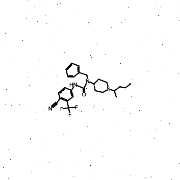 CCCC(C)N1CCC(N(Cc2ccccc2)C(=O)Nc2ccc(C#N)c(C(F)(F)F)c2)CC1